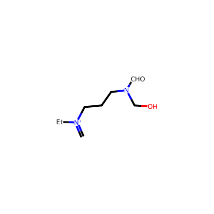 C=[N+](CC)CCCN(C=O)CO